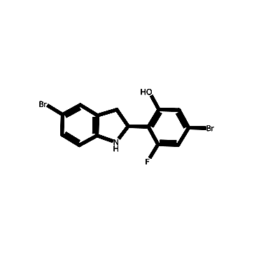 Oc1cc(Br)cc(F)c1C1Cc2cc(Br)ccc2N1